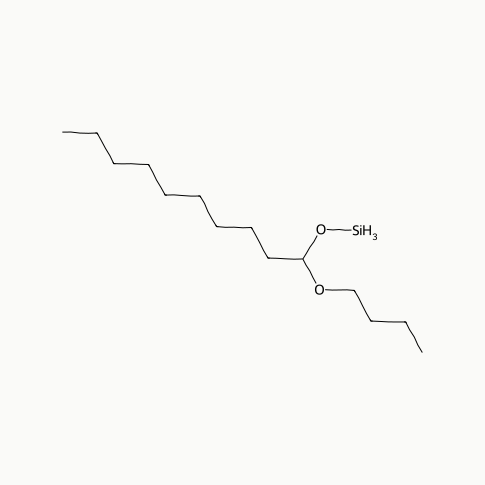 CCCCCCCCCC(O[SiH3])OCCCC